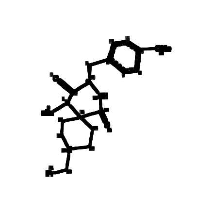 CCCCN1C(=O)[C@@H](Cc2ccc(OC)cc2)NC(=O)C12CCN(CC(C)C)CC2